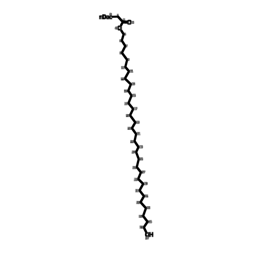 CCCCCCCCCCCC(=O)OCCCCCCCCCCCCCCCCCCCCCCCCCCCCCCCCO